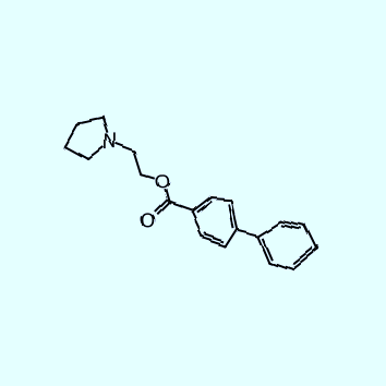 O=C(OCCN1CCCC1)c1ccc(-c2ccccc2)cc1